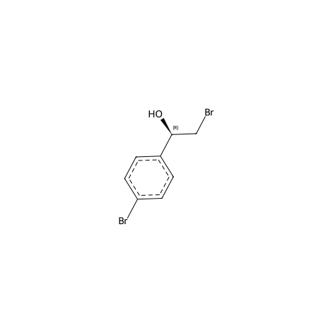 O[C@@H](CBr)c1ccc(Br)cc1